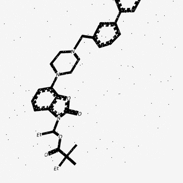 CCC(OC(=O)C(C)(C)CC)n1c(=O)oc2c(N3CCN(Cc4cccc(-c5ccccc5)c4)CC3)cccc21